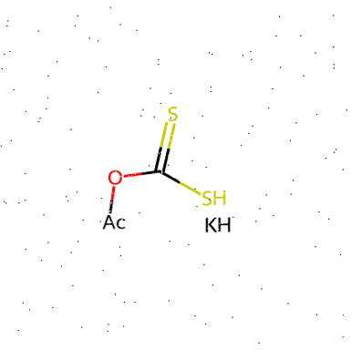 CC(=O)OC(=S)S.[KH]